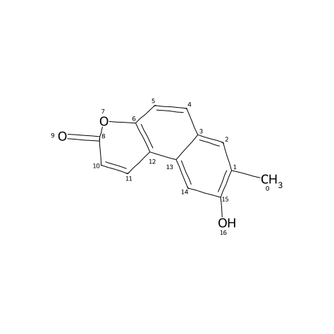 Cc1cc2ccc3oc(=O)ccc3c2cc1O